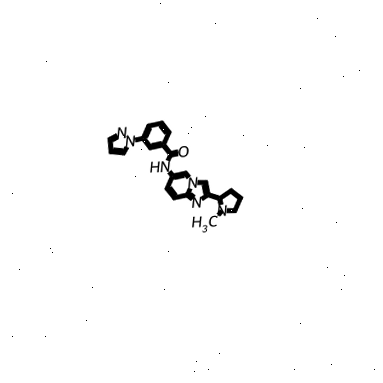 CN1CCCC1c1cn2cc(NC(=O)c3cccc(-n4cccn4)c3)ccc2n1